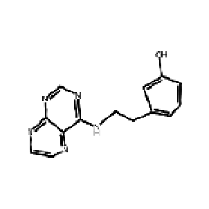 Oc1cccc(CCNc2ncnc3nccnc23)c1